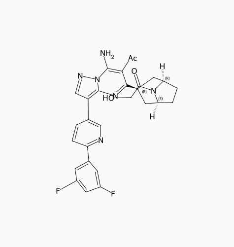 CC(=O)c1c([C@H]2C[C@H]3CC[C@@H](C2)N3C(=O)CO)nc2c(-c3ccc(-c4cc(F)cc(F)c4)nc3)cnn2c1N